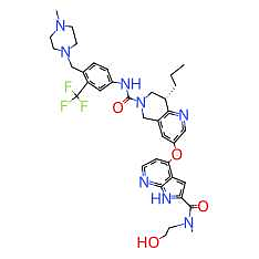 CCC[C@H]1CN(C(=O)Nc2ccc(CN3CCN(C)CC3)c(C(F)(F)F)c2)Cc2cc(Oc3ccnc4[nH]c(C(=O)N(C)CCO)cc34)cnc21